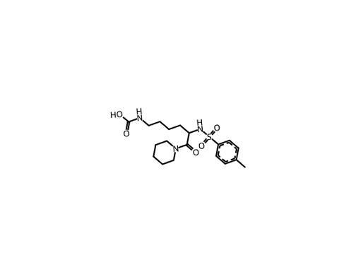 Cc1ccc(S(=O)(=O)NC(CCCCNC(=O)O)C(=O)N2CCCCC2)cc1